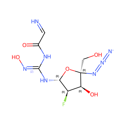 [N-]=[N+]=N[C@]1(CO)O[C@@H](N/C(=N/O)NC(=O)C=N)[C@H](F)[C@@H]1O